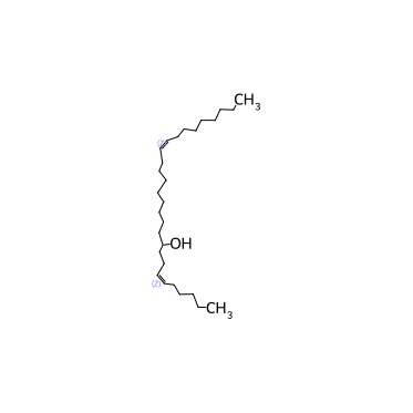 CCCCC/C=C\CCC(O)CCCCCCCC/C=C\CCCCCCCC